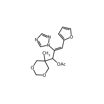 CC(=O)OC(/C(=C/c1ccco1)n1cncn1)C1(C)COCOC1